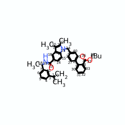 C=C(C)c1cccc([C@H](C)NC(=O)c2ccc3c(c2)c(C)c(C)n3Cc2ccc(-c3ccccc3C(=O)OC(C)(C)C)cc2)c1